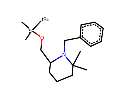 CC1(C)CCCC(CO[Si](C)(C)C(C)(C)C)N1Cc1ccccc1